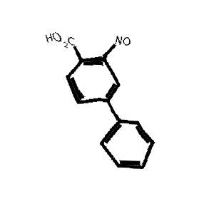 O=Nc1cc(-c2ccccc2)ccc1C(=O)O